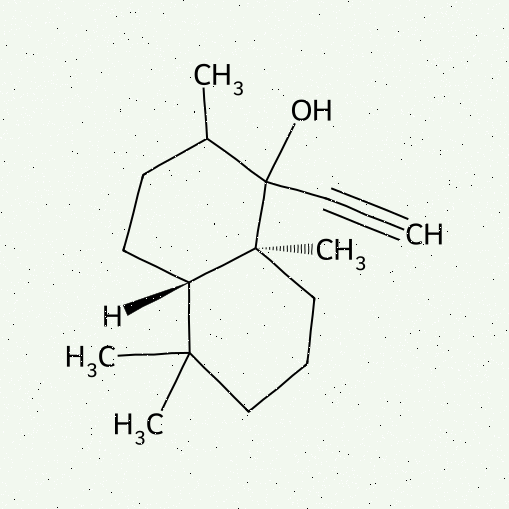 C#CC1(O)C(C)CC[C@H]2C(C)(C)CCC[C@@]21C